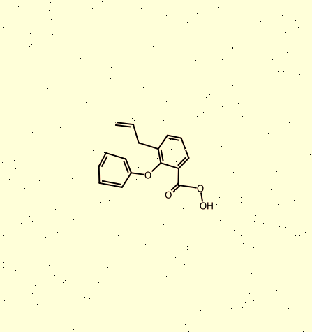 C=CCc1cccc(C(=O)OO)c1Oc1ccccc1